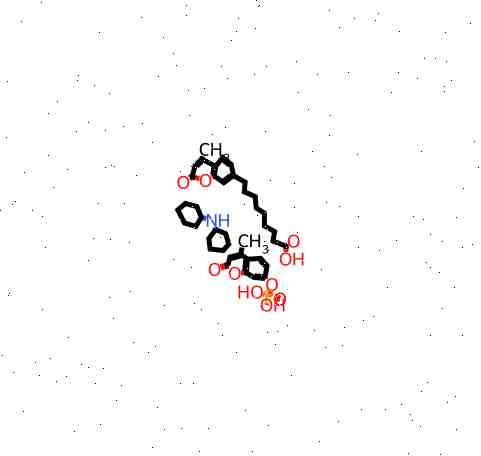 C1CCC(NC2CCCCC2)CC1.Cc1cc(=O)oc2cc(CCCCCCCCC(=O)O)ccc12.Cc1cc(=O)oc2cc(OP(=O)(O)O)ccc12